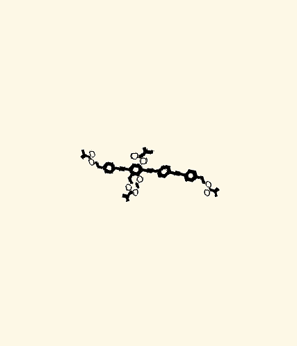 C=C(C)C(=O)OCCc1ccc(C#Cc2ccc(C#Cc3c(OC(=O)C(=C)C)cc(C#Cc4ccc(CCOC(=O)C(=C)C)cc4)c(CCOC(=O)C(=C)C)c3OCC)cc2)cc1